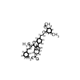 COc1ccc(C)cc1OCCc1ccc(C2=C(C(=O)N(C)CCc3ccccc3)C3CN(C(C)=O)CC(C2)N3)cc1